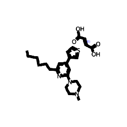 CCCCCCc1cc(-c2ccsc2)cc(N2CCN(C)CC2)n1.O=C(O)/C=C/C(=O)O